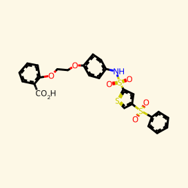 O=C(O)c1ccccc1OCCOc1ccc(NS(=O)(=O)c2cc(S(=O)(=O)c3ccccc3)cs2)cc1